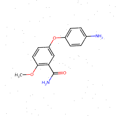 COc1ccc(Oc2ccc(N)cc2)cc1C(N)=O